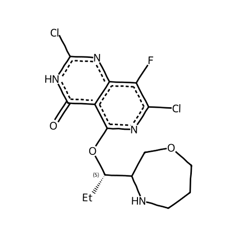 CC[C@H](Oc1nc(Cl)c(F)c2nc(Cl)[nH]c(=O)c12)C1COCCCN1